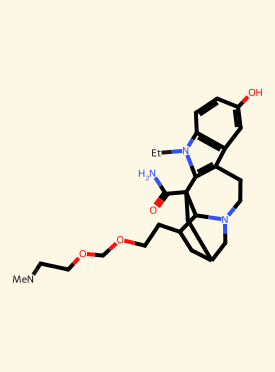 CCn1c2c(c3cc(O)ccc31)CCN1CC3CC(CCOCOCCNC)C1C2(C(N)=O)C3